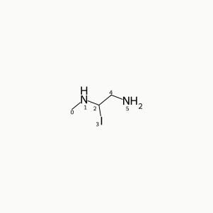 CNC(I)CN